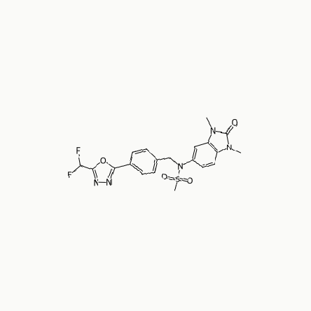 Cn1c(=O)n(C)c2cc(N(Cc3ccc(-c4nnc(C(F)F)o4)cc3)S(C)(=O)=O)ccc21